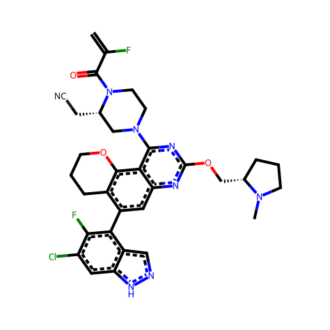 C=C(F)C(=O)N1CCN(c2nc(OC[C@@H]3CCCN3C)nc3cc(-c4c(F)c(Cl)cc5[nH]ncc45)c4c(c23)OCCC4)C[C@@H]1CC#N